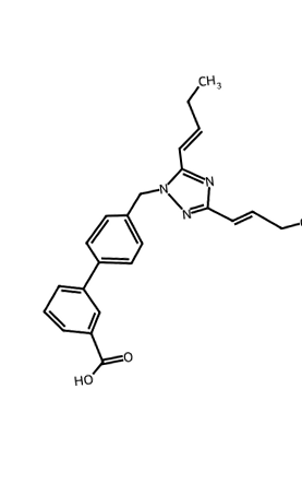 CC/C=C/c1nc(/C=C/CC)n(Cc2ccc(-c3cccc(C(=O)O)c3)cc2)n1